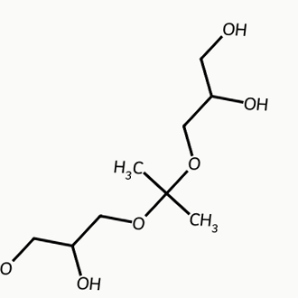 CC(C)(OCC(O)CO)OCC(O)CO